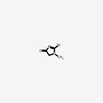 [2H]C1=NC(=O)CN1C